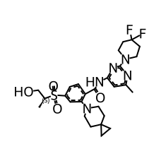 Cc1cc(NC(=O)c2ccc(S(=O)(=O)[C@@H](C)CO)cc2N2CCC3(CC2)CC3)nc(N2CCC(F)(F)CC2)n1